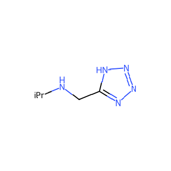 CC(C)NCc1nnn[nH]1